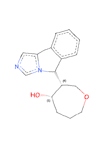 O[C@H]1CCCOC[C@H]1C1c2ccccc2-c2cncn21